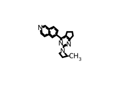 C[C@H]1CCN1c1nc2c(c(-c3ccc4cnccc4c3)n1)CCC2